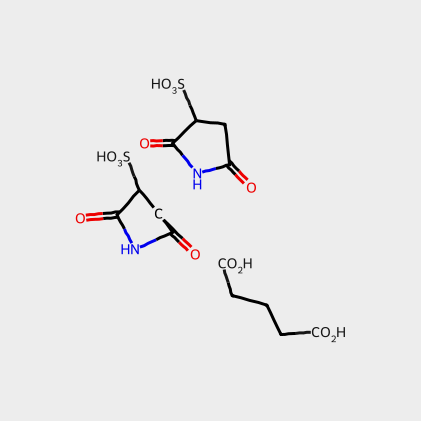 O=C(O)CCCC(=O)O.O=C1CC(S(=O)(=O)O)C(=O)N1.O=C1CC(S(=O)(=O)O)C(=O)N1